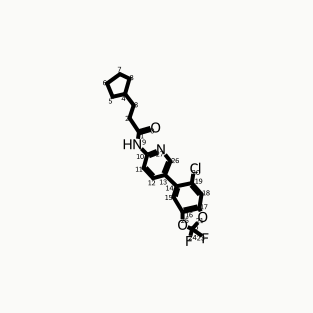 O=C(CCC1CCCC1)Nc1ccc(-c2cc3c(cc2Cl)OC(F)(F)O3)cn1